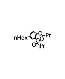 CCCCCCc1ccc(OC(=O)C(C)C)c(OC(=O)C(C)C)c1